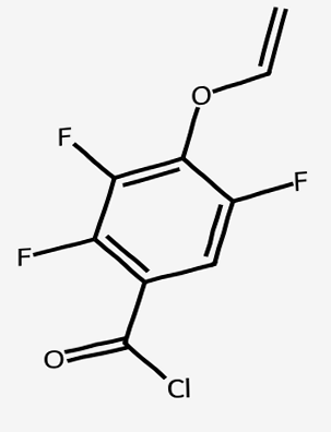 C=COc1c(F)cc(C(=O)Cl)c(F)c1F